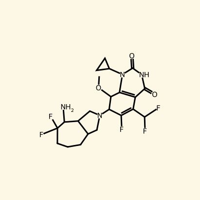 COC1c2c(c(=O)[nH]c(=O)n2C2CC2)C(C(F)F)=C(F)C1N1CC2CCCC(F)(F)C(N)C2C1